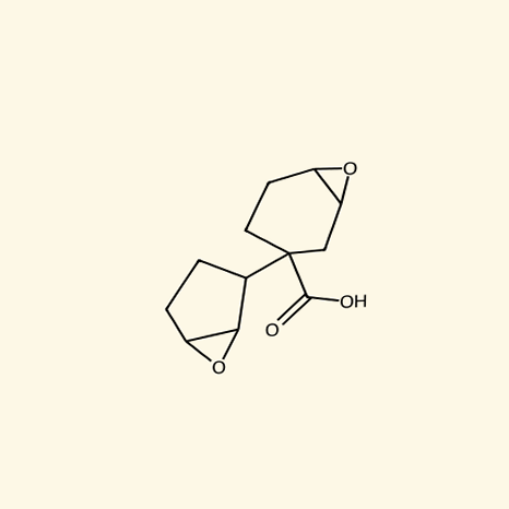 O=C(O)C1(C2CCC3OC32)CCC2OC2C1